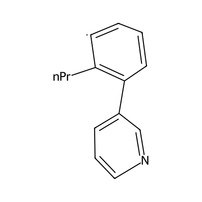 CCCc1[c]cccc1-c1cccnc1